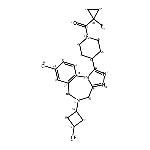 O=C(N1CCC(c2nnc3n2-c2ccc(Cl)cc2CN(C2CC(C(F)(F)F)C2)C3)CC1)C1(F)CC1